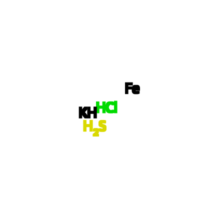 Cl.S.[Fe].[KH]